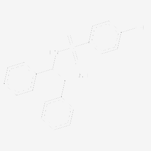 Cc1ccc(S(=O)(=O)NC(c2ccccc2)[C@H](N)c2ccccc2)cc1